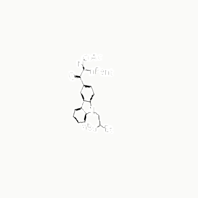 CCCCC/C(=N\OC(C)=O)C(=O)c1ccc2c(c1)c1ccccc1n2CC(CC)CCCC